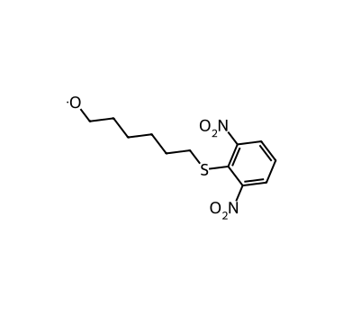 [O]CCCCCCSc1c([N+](=O)[O-])cccc1[N+](=O)[O-]